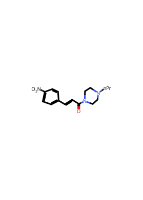 CCCN1CCN(C(=O)C=Cc2ccc([N+](=O)[O-])cc2)CC1